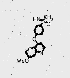 COc1ccc2c(Oc3ccc([S@@](C)(=N)=O)cc3)ccnc2c1